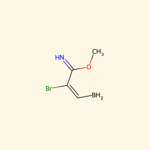 B/C=C(/Br)C(=N)OC